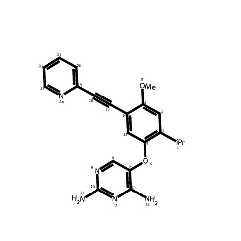 COc1cc(C(C)C)c(Oc2cnc(N)nc2N)cc1C#Cc1ccccn1